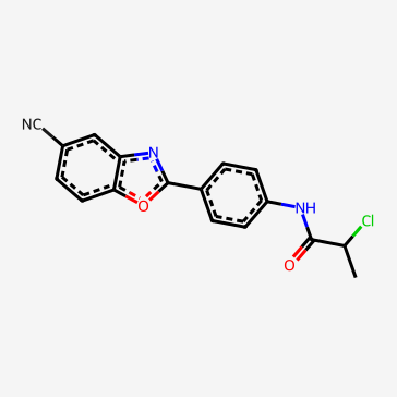 CC(Cl)C(=O)Nc1ccc(-c2nc3cc(C#N)ccc3o2)cc1